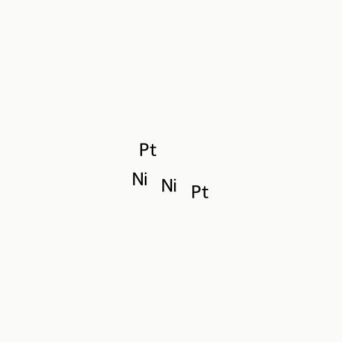 [Ni].[Ni].[Pt].[Pt]